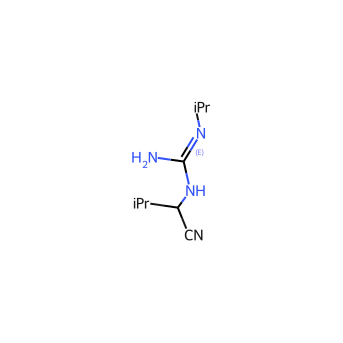 CC(C)/N=C(\N)NC(C#N)C(C)C